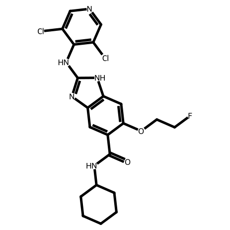 O=C(NC1CCCCC1)c1cc2nc(Nc3c(Cl)cncc3Cl)[nH]c2cc1OCCF